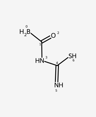 BC(=O)NC(=N)S